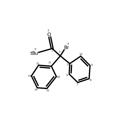 CC(C)(C)C(=O)C(Br)(c1ccccc1)c1ccccc1